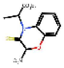 CCOC(=O)C(C)N1C(=S)C([N+](=O)[O-])Oc2ccccc21